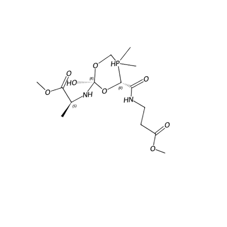 COC(=O)CCNC(=O)[C@@H]1O[C@@](O)(N[C@@H](C)C(=O)OC)OC[PH]1(C)C